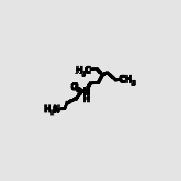 CCCC(CC)CCNC(=O)CCCN